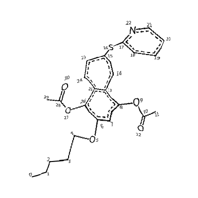 CCCCCOc1cc(OC(C)=O)c2cc(Sc3ccccn3)ccc2c1OC(C)=O